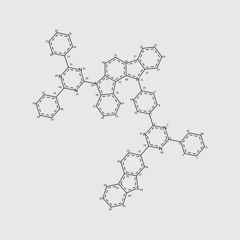 c1ccc(-c2nc(-c3ccc(-n4c5ccccc5c5ccc6c(c7ccccc7n6-c6nc(-c7ccccc7)nc(-c7ccccc7)n6)c54)cc3)nc(-c3ccc4c(c3)sc3ccccc34)n2)cc1